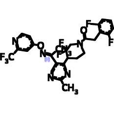 C/C(=N\Oc1ccnc(C(F)(F)F)c1)c1cnc(C)nc1C1CCN(C(=O)Cc2c(F)cccc2F)CC1(F)F